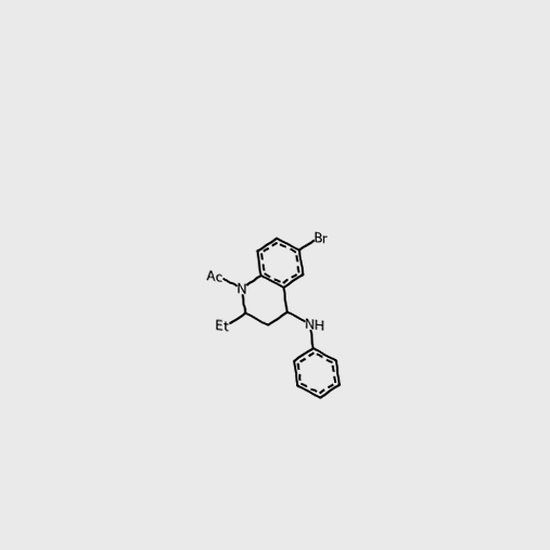 CCC1CC(Nc2ccccc2)c2cc(Br)ccc2N1C(C)=O